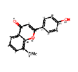 COc1cccc2c(=O)cc(-c3ccc(O)cc3)oc12